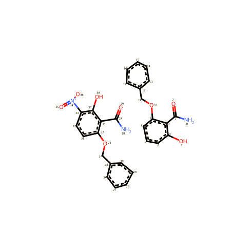 NC(=O)c1c(O)cccc1OCc1ccccc1.NC(=O)c1c(OCc2ccccc2)ccc([N+](=O)[O-])c1O